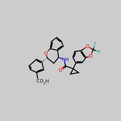 O=C(O)c1cccc([C@H]2C[C@H](NC(=O)C3(c4ccc5c(c4)OC(F)(F)O5)CC3)c3ccccc3O2)c1